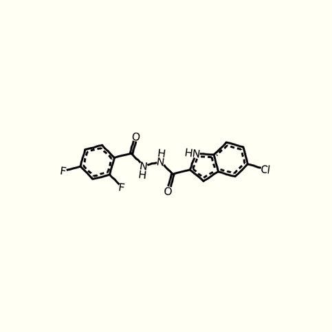 O=C(NNC(=O)c1ccc(F)cc1F)c1cc2cc(Cl)ccc2[nH]1